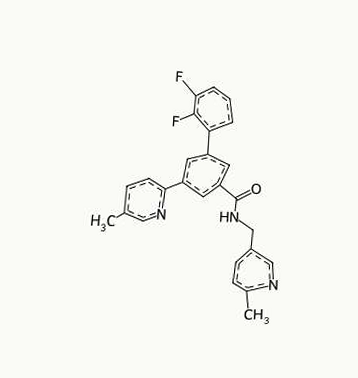 Cc1ccc(-c2cc(C(=O)NCc3ccc(C)nc3)cc(-c3cccc(F)c3F)c2)nc1